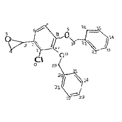 Clc1c(C2CO2)ccc(OCc2ccccc2)c1OCc1ccccc1